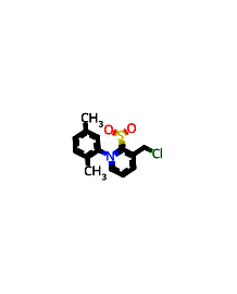 Cc1ccc(C)c(-n2cccc(CCl)c2=S(=O)=O)c1